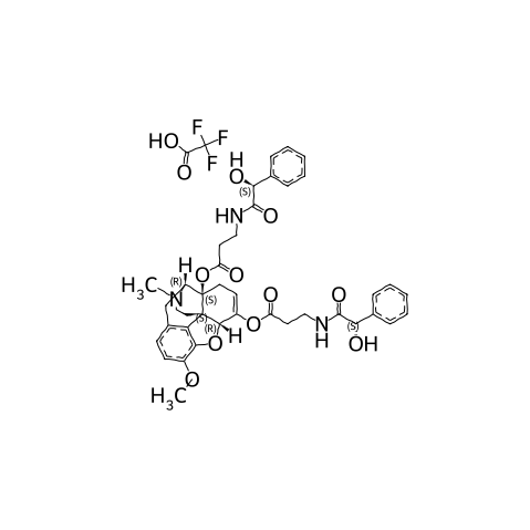 COc1ccc2c3c1O[C@H]1C(OC(=O)CCNC(=O)[C@@H](O)c4ccccc4)=CC[C@@]4(OC(=O)CCNC(=O)[C@@H](O)c5ccccc5)[C@@H](C2)N(C)CC[C@]314.O=C(O)C(F)(F)F